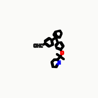 CC(C)(Oc1ccc(C2(c3ccc(C=O)cc3)CC3CCC2C3)cc1)c1ccccn1